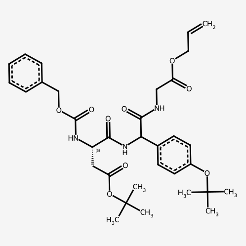 C=CCOC(=O)CNC(=O)C(NC(=O)[C@H](CC(=O)OC(C)(C)C)NC(=O)OCc1ccccc1)c1ccc(OC(C)(C)C)cc1